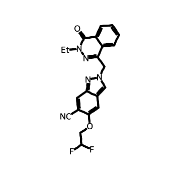 CCn1nc(Cn2cc3cc(OCC(F)F)c(C#N)cc3n2)c2ccccc2c1=O